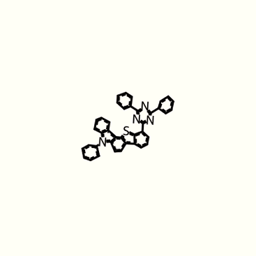 c1ccc(-c2nc(-c3ccccc3)nc(-c3cccc4c3sc3c4ccc4c3c3ccccc3n4-c3ccccc3)n2)cc1